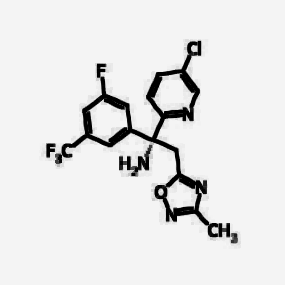 Cc1noc(C[C@@](N)(c2cc(F)cc(C(F)(F)F)c2)c2ccc(Cl)cn2)n1